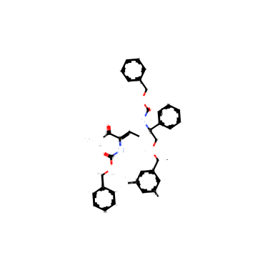 COC(=O)/C(=C/C[C@](CO[C@H](C)c1cc(C(F)(F)F)cc(C(F)(F)F)c1)(NC(=O)OCc1ccccc1)c1ccccc1)NC(=O)OCc1ccccc1